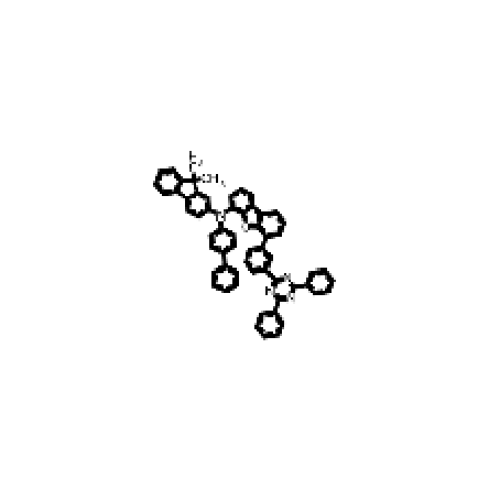 CC1(C)c2ccccc2-c2ccc(N(c3ccc(-c4ccccc4)cc3)c3cccc4c3oc3c(-c5cccc(-c6nc(-c7ccccc7)nc(-c7ccccc7)n6)c5)cccc34)cc21